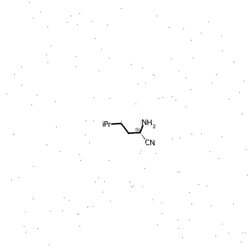 CC(C)CC[C@H](N)C#N